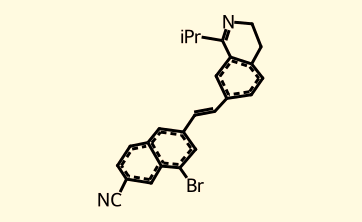 CC(C)C1=NCCc2ccc(C=Cc3cc(Br)c4cc(C#N)ccc4c3)cc21